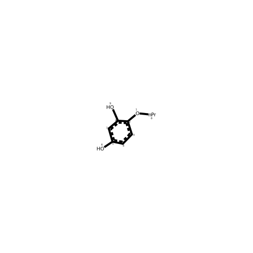 CCCOc1ccc(O)cc1O